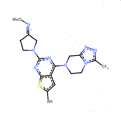 CCCc1cc2c(N3CCn4c(nnc4C(F)(F)F)C3)nc(N3CC/C(=N\OC)C3)nc2s1